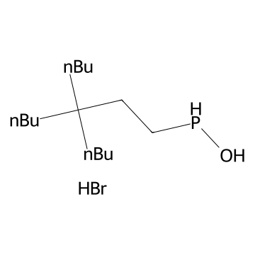 Br.CCCCC(CCCC)(CCCC)CCPO